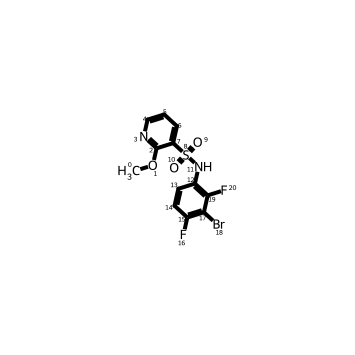 COc1ncccc1S(=O)(=O)Nc1ccc(F)c(Br)c1F